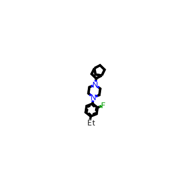 CCc1ccc(N2CCN(C3CC4CCC3C4)CC2)c(F)c1